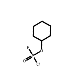 O=P(F)(Cl)OC1CCCCC1